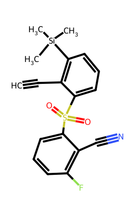 C#Cc1c([Si](C)(C)C)cccc1S(=O)(=O)c1cccc(F)c1C#N